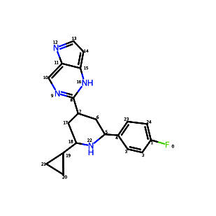 Fc1ccc(C2CC(c3ncc4nccc-4[nH]3)CC(C3CC3)N2)cc1